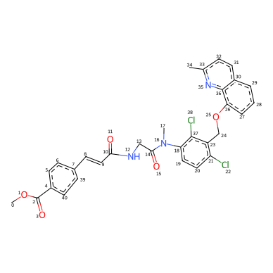 COC(=O)c1ccc(C=CC(=O)NCC(=O)N(C)c2ccc(Cl)c(COc3cccc4ccc(C)nc34)c2Cl)cc1